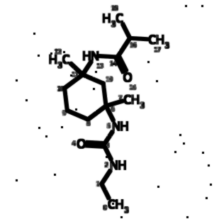 CCNC(=O)NC1(C)CCCC(C)(NC(=O)C(C)C)C1